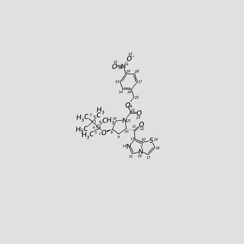 CC(C)(C)[Si](C)(C)O[C@@H]1C[C@@H](C(=O)c2ncn3ccsc23)N(C(=O)OCc2ccc([N+](=O)[O-])cc2)C1